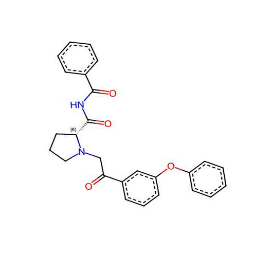 O=C(CN1CCC[C@@H]1C(=O)NC(=O)c1ccccc1)c1cccc(Oc2ccccc2)c1